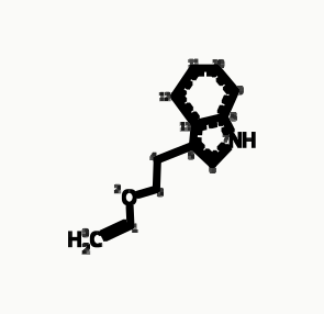 C=COCCc1c[nH]c2ccccc12